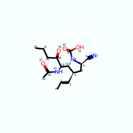 CC=C[C@@H]1C[C@H](C#N)N(C(=O)O)[C@H]1[C@@H](NC(C)=O)C(=O)CCC